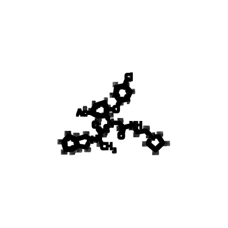 CC(=O)c1ccc(Oc2ccc(Cl)cc2)c(N(CC(=O)NCCN2CCCC2)CC(=O)N(C)N2Cc3ccccc3C2)c1